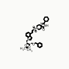 CC1(C)O[C@@H](COCc2ccccc2)[C@H](Cn2ccc3c(/C=C/S(=O)(=O)N4CCC5(CC4)N=C(C4CCCCC4)NC5=O)cccc32)O1